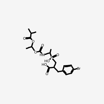 CC(OC(=O)NC(C)P(=O)(O)CC(Cc1ccc(Br)cc1)C(=O)O)OC(=O)C(C)C